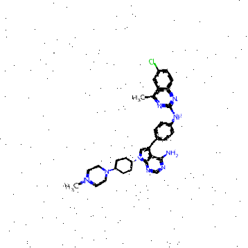 Cc1nc(Nc2ccc(-c3cn([C@H]4CC[C@H](N5CCN(C)CC5)CC4)c4ncnc(N)c34)cc2)nc2ccc(Cl)cc12